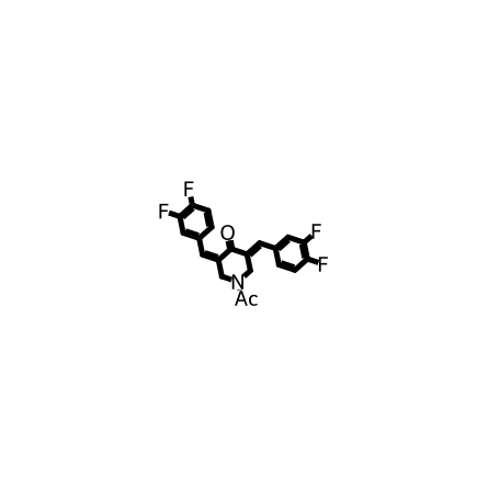 CC(=O)N1CC(=Cc2ccc(F)c(F)c2)C(=O)C(=Cc2ccc(F)c(F)c2)C1